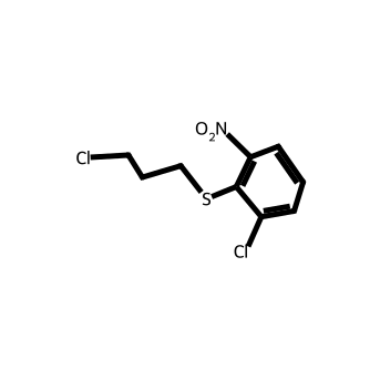 O=[N+]([O-])c1cccc(Cl)c1SCCCCl